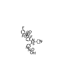 COCN(c1cccc(-c2nc(C3CCN(C)CC3)sc2-c2ccnc(N(C)C(=O)O)c2)c1F)S(=O)(=O)c1cc(F)ccc1F